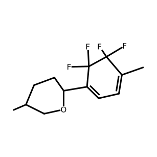 CC1=CC=C(C2CCC(C)CO2)C(F)(F)C1(F)F